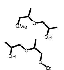 CCOCC(C)OCC(C)O.COCC(C)OCC(C)O